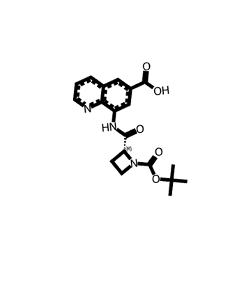 CC(C)(C)OC(=O)N1CC[C@@H]1C(=O)Nc1cc(C(=O)O)cc2cccnc12